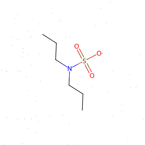 CCCN(CCC)S([O])(=O)=O